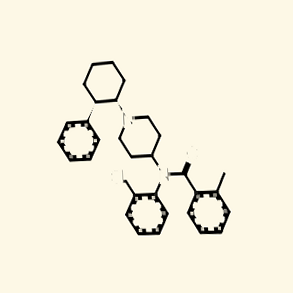 Cc1ccccc1C(=O)N(c1ccccc1Cl)C1CCN([C@@H]2CCCC[C@@H]2c2ccccc2)CC1